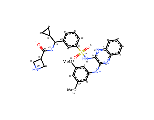 COc1cc(Nc2nc3ccccc3nc2NS(=O)(=O)c2cccc(C(NC(=O)C3CNC3)C3CC3)c2)cc(OC)c1